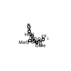 COc1cc(OC(=O)N(c2ccnc(Nc3ccc(N4CCN(C)CC4)cc3)n2)c2ccc(OC)cc2OC)cc(C(=O)Nc2cccc(C(F)(F)F)c2)c1